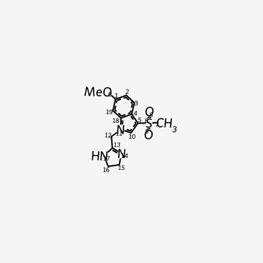 COc1ccc2c(S(C)(=O)=O)cn(CC3=NCCN3)c2c1